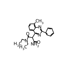 CCN(CC)C(=O)C(C(N)=O)c1nc(-c2ccccc2)nc2c(C)cccc12